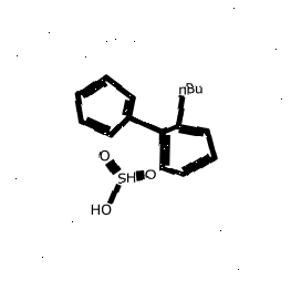 CCCCc1ccccc1-c1ccccc1.O=[SH](=O)O